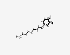 CCCCCCCCOc1ccc(F)c(F)c1